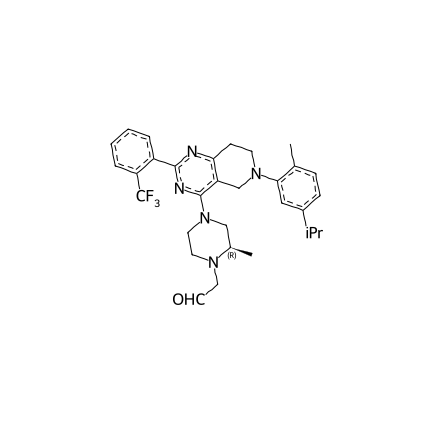 Cc1ccc(C(C)C)cc1N1CCc2nc(-c3ccccc3C(F)(F)F)nc(N3CCN(CC=O)[C@H](C)C3)c2C1